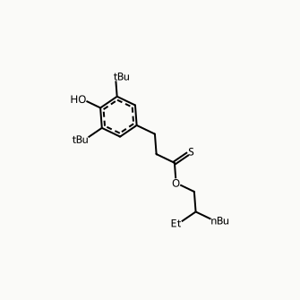 CCCCC(CC)COC(=S)CCc1cc(C(C)(C)C)c(O)c(C(C)(C)C)c1